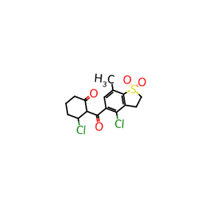 Cc1cc(C(=O)C2C(=O)CCCC2Cl)c(Cl)c2c1S(=O)(=O)CC2